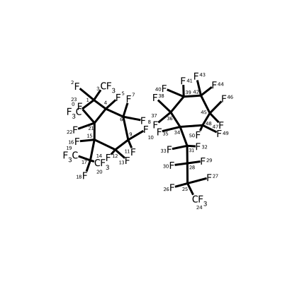 FC(F)(F)C(F)(C(F)(F)F)C1(F)C(F)(F)C(F)(F)C(F)(F)C(F)(C(F)(C(F)(F)F)C(F)(F)F)C1(F)F.FC(F)(F)C(F)(F)C(F)(F)C(F)(F)C1(F)C(F)(F)C(F)(F)C(F)(F)C(F)(F)C1(F)F